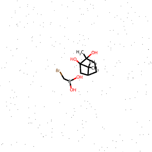 CC1(O)CCC2CC1(O)C2(C)C.OB(O)CBr